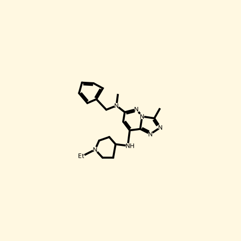 CCN1CCC(Nc2cc(N(C)Cc3ccccc3)nn3c(C)nnc23)CC1